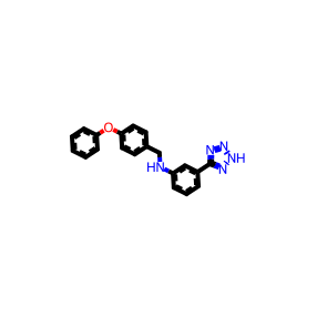 c1ccc(Oc2ccc(CNc3cccc(-c4nn[nH]n4)c3)cc2)cc1